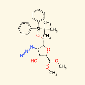 COC(OC)[C@@H]1O[C@@H](CO[Si](c2ccccc2)(c2ccccc2)C(C)(C)C)[C@H](N=[N+]=[N-])[C@H]1O